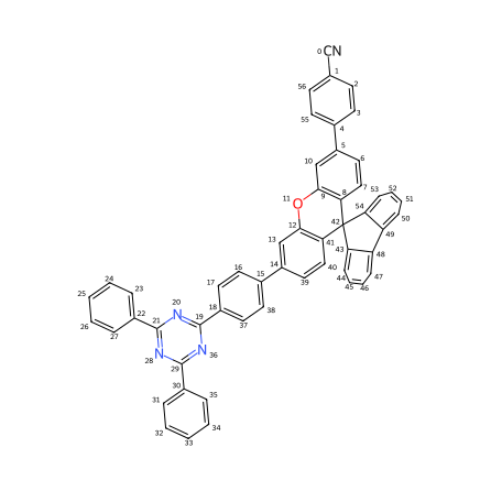 N#Cc1ccc(-c2ccc3c(c2)Oc2cc(-c4ccc(-c5nc(-c6ccccc6)nc(-c6ccccc6)n5)cc4)ccc2C32c3ccccc3-c3ccccc32)cc1